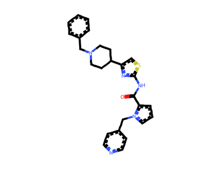 O=C(Nc1nc(C2CCN(Cc3ccccc3)CC2)cs1)c1cccn1Cc1ccncc1